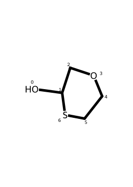 OC1COCCS1